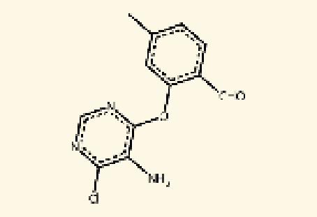 Cc1ccc(C=O)c(Oc2ncnc(Cl)c2N)c1